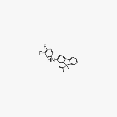 C=C(C)C1(C)c2ccccc2-c2ccc(Nc3ccc(F)c(F)c3)cc21